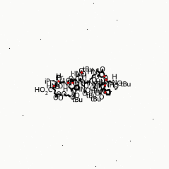 C=CCOC(=O)OC(=O)CC[C@H](NC(=O)[C@@H](CC(C)C)NC(=O)[C@@H](CC(C)C)NC(=O)[C@H](Cc1cn(C(=O)OC(C)(C)C)c2ccccc12)NC(=O)[C@H](CCNC(=O)OC(C)(C)C)NC(=O)[C@H](CCNC(=O)OC(C)(C)C)NC(=O)[C@H](CCCCNC(C)=C1C(=O)CC(C)(C)CC1=O)NC(=O)[C@H](NC(=O)[C@H](Cc1cn(C(=O)OC(C)(C)C)c2ccccc12)NC(=O)[C@@H](N)CCNC(=O)OC(C)(C)C)[C@H](C)OC(C)(C)C)C(=O)O